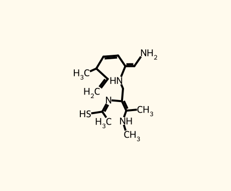 C=CC(C)/C=C\C(=C/N)NCC(/N=C(\C)S)=C(\C)NC